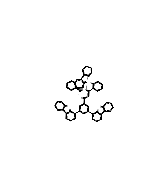 c1ccc(-c2nc(-c3cc(-c4cccc5c4oc4ccccc45)cc(-c4cccc5c4oc4ccccc45)c3)cc(-c3ccccc3-n3c4ccccc4c4ccccc43)n2)cc1